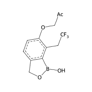 CC(=O)COc1ccc2c(c1CC(F)(F)F)B(O)OC2